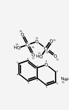 C1=Cc2ccccc2OC1.[NaH].[O]=[Cr](=[O])([OH])[O][Cr](=[O])(=[O])[OH]